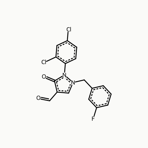 O=Cc1cn(Cc2cccc(F)c2)n(-c2ccc(Cl)cc2Cl)c1=O